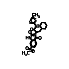 Cc1cnc(NC(=O)C(CC2CCCCC2)n2c(=O)[nH]c3cc(S(C)(=O)=O)ccc3c2=O)s1